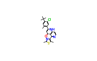 Cc1nc(-c2nccc3[nH]c(-c4cc(Cl)c(C(C)(C)C)cc4C)cc(=O)c23)c(C)s1